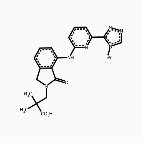 CC(C)n1cnnc1-c1cccc(Nc2cccc3c2C(=O)N(CC(C)(C)C(=O)O)C3)n1